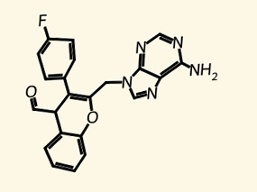 Nc1ncnc2c1ncn2CC1=C(c2ccc(F)cc2)C(C=O)c2ccccc2O1